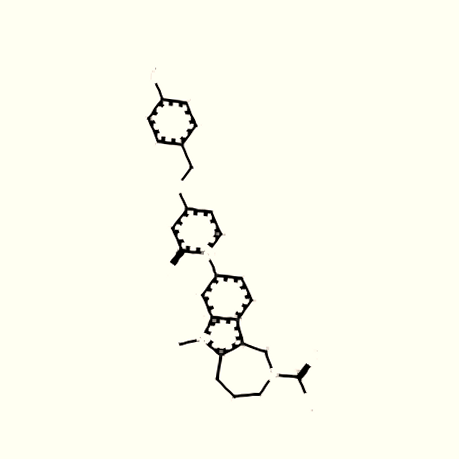 Cn1c2c(c3ccc(-n4ccc(OCc5ccc(F)cc5)cc4=O)cc31)CN(C(=O)O)CCC2